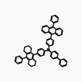 c1ccc(-c2ccc(N(c3ccc(-c4c5c(c(-c6ccccc6)c6c4CCCC6)CCCC5)cc3)c3ccc(-c4c5ccccc5c(-c5ccccc5)c5ccccc45)cc3)cc2)cc1